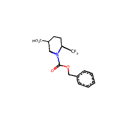 O=C(O)C1CCC(C(F)(F)F)N(C(=O)OCc2ccccc2)C1